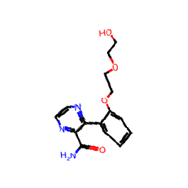 NC(=O)c1nccnc1-c1ccccc1OCCOCCO